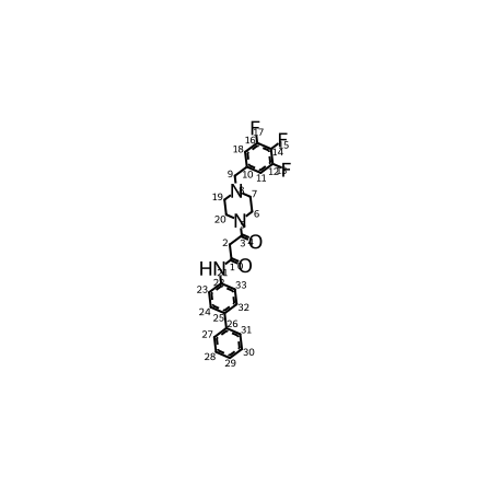 O=C(CC(=O)N1CCN(Cc2cc(F)c(F)c(F)c2)CC1)Nc1ccc(-c2ccccc2)cc1